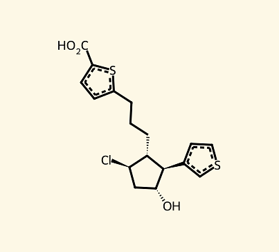 O=C(O)c1ccc(CCC[C@@H]2[C@@H](c3ccsc3)[C@H](O)C[C@H]2Cl)s1